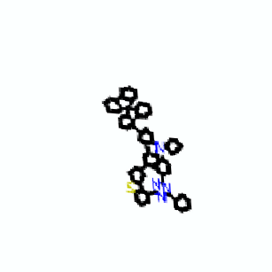 c1ccc(-c2nc(-c3ccccc3)nc(-c3cccc4sc5ccc(-c6ccc7c(c6)c6cc(-c8cccc9c8-c8ccccc8C98c9ccccc9-c9ccccc98)ccc6n7-c6ccccc6)cc5c34)n2)cc1